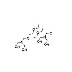 CCOCC.CCOCC.O=CN(CO)CO.O=CN(CO)CO